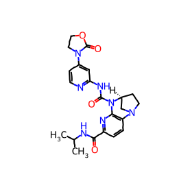 CC(C)NC(=O)c1ccc2c(n1)N(C(=O)Nc1cc(N3CCOC3=O)ccn1)[C@H]1CCN2C1